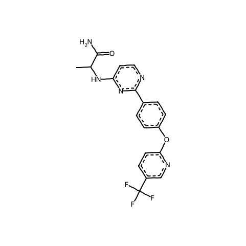 CC(Nc1ccnc(-c2ccc(Oc3ccc(C(F)(F)F)cn3)cc2)n1)C(N)=O